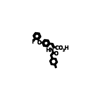 CC1CCC(CC(=O)N/C(=C\c2ccc(Oc3ccccc3I)cc2)C(=O)O)CC1